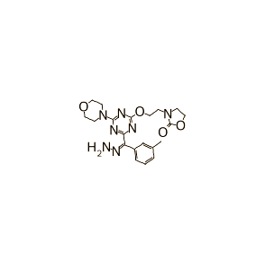 Cc1cccc(C(=NN)c2nc(OCCN3CCOC3=O)nc(N3CCOCC3)n2)c1